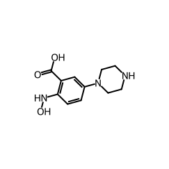 O=C(O)c1cc(N2CCNCC2)ccc1NO